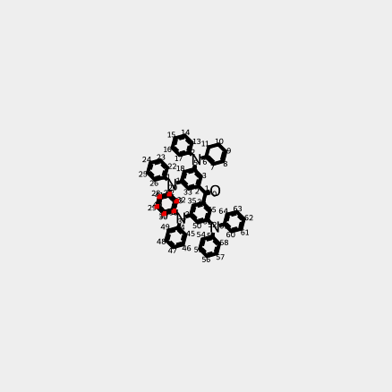 O=C(c1cc(N(C2=CC=CCC2)c2ccccc2)cc(N(c2ccccc2)c2ccccc2)c1)c1cc(N(c2ccccc2)c2ccccc2)cc(N(c2ccccc2)c2ccccc2)c1